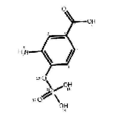 Nc1cc(C(=O)O)ccc1OP(=O)(O)O